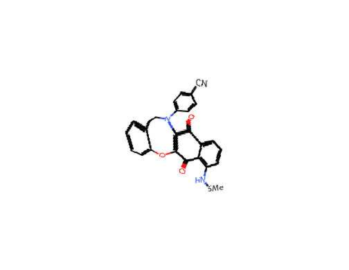 CSNc1cccc2c1C(=O)C1=C(C2=O)N(c2ccc(C#N)cc2)Cc2ccccc2O1